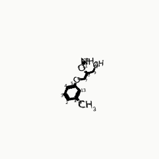 Cc1cccc(OCC(CO)ON)c1